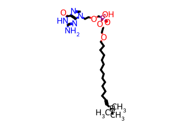 C[Si](C)(C)C#CCCCCCCCCCCCCCOCCOP(=O)(O)COCCn1cnc2c(=O)[nH]c(N)nc21